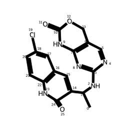 CC(Nc1ncc2c(n1)NC(=O)OC2)c1cc2cc(Cl)ccc2[nH]c1=O